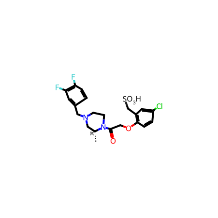 C[C@@H]1CN(Cc2ccc(F)c(F)c2)CCN1C(=O)COc1ccc(Cl)cc1CS(=O)(=O)O